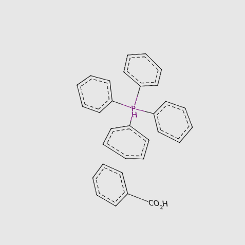 O=C(O)c1ccccc1.c1ccc([PH](c2ccccc2)(c2ccccc2)c2ccccc2)cc1